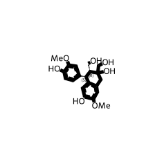 COc1cc([C@H]2c3cc(O)c(OC)cc3CC(O)(CO)[C@H]2CO)ccc1O